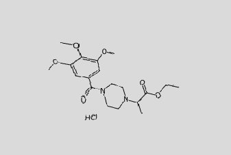 CCOC(=O)C(C)N1CCN(C(=O)c2cc(OC)c(OC)c(OC)c2)CC1.Cl